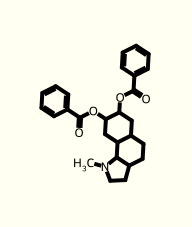 CN1CCC2CCC3CC(OC(=O)c4ccccc4)C(OC(=O)c4ccccc4)CC3C21